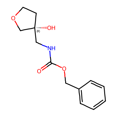 O=C(NC[C@]1(O)CCOC1)OCc1ccccc1